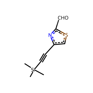 C[Si](C)(C)C#Cc1csc(C=O)n1